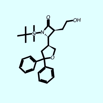 CC(C)(C)[Si](C)(C)N1C(=O)[C@@H](CCO)[C@@H]1[C@H]1COC(c2ccccc2)(c2ccccc2)C1